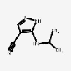 CC(C)Nc1[nH]ncc1C#N